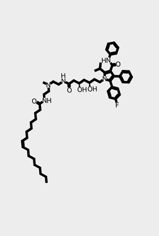 CCCCCCCC/C=C\CCCCCCCC(=O)NCCN(C)CCNC(=O)C[C@H](O)C[C@H](O)CCn1c(-c2ccc(F)cc2)c(-c2ccccc2)c(C(=O)Nc2ccccc2)c1C(C)C